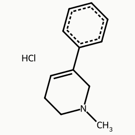 CN1CCC=C(c2ccccc2)C1.Cl